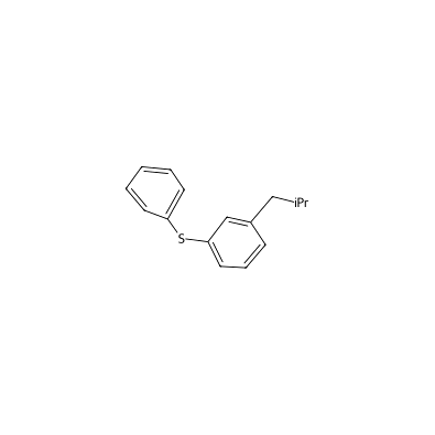 CC(C)Cc1cccc(Sc2ccccc2)c1